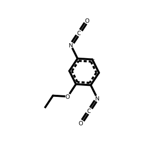 CCOc1cc(N=C=O)[c]cc1N=C=O